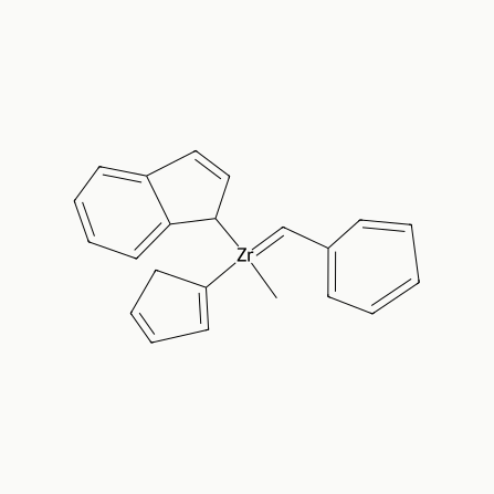 [CH3][Zr](=[CH]c1ccccc1)([C]1=CC=CC1)[CH]1C=Cc2ccccc21